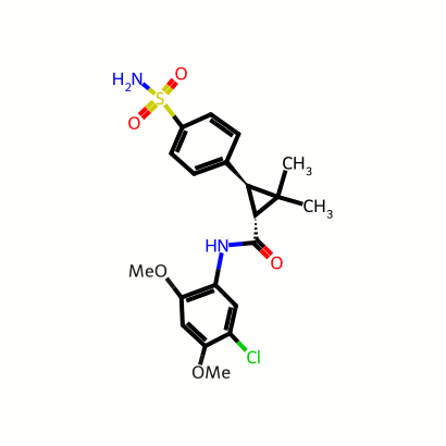 COc1cc(OC)c(NC(=O)[C@@H]2[C@@H](c3ccc(S(N)(=O)=O)cc3)C2(C)C)cc1Cl